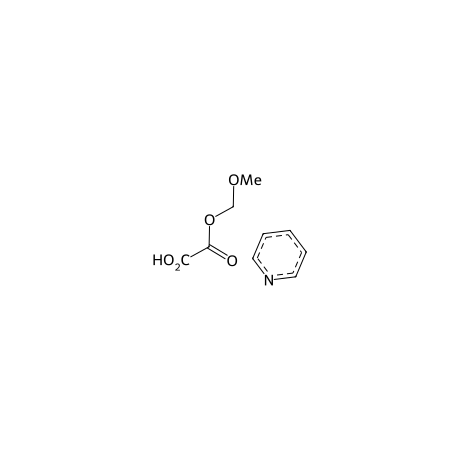 COCOC(=O)C(=O)O.c1ccncc1